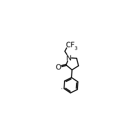 O=C1C(c2c[c]ccc2)CCN1CC(F)(F)F